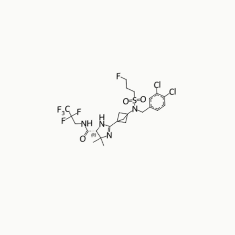 CC1(C)N=C(C23CC(N(Cc4ccc(Cl)c(Cl)c4)S(=O)(=O)CCCF)(C2)C3)N[C@H]1C(=O)NCC(F)(F)C(F)(F)F